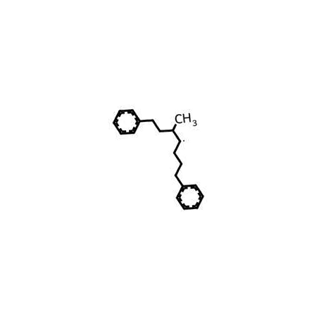 CC([CH]CCCc1ccccc1)CCc1ccccc1